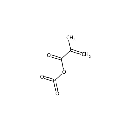 C=C(C)C(=O)OP(=O)=O